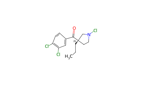 CCC[C@]1(C(=O)c2ccc(Cl)c(Cl)c2)CCN(Cl)C1